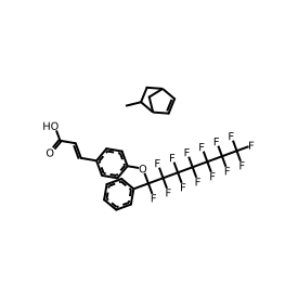 CC1CC2C=CC1C2.O=C(O)C=Cc1ccc(OC(F)(c2ccccc2)C(F)(F)C(F)(F)C(F)(F)C(F)(F)C(F)(F)C(F)(F)F)cc1